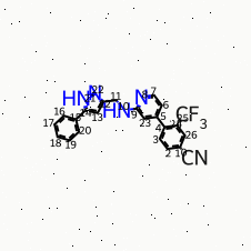 N#Cc1ccc(-c2ccnc(NCc3cc(-c4ccccc4)[nH]n3)c2)c(C(F)(F)F)c1